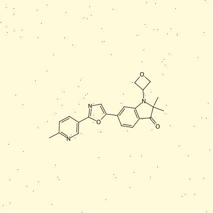 Cc1ccc(-c2ncc(-c3ccc4c(c3)N(C3COC3)C(C)(C)C4=O)o2)cn1